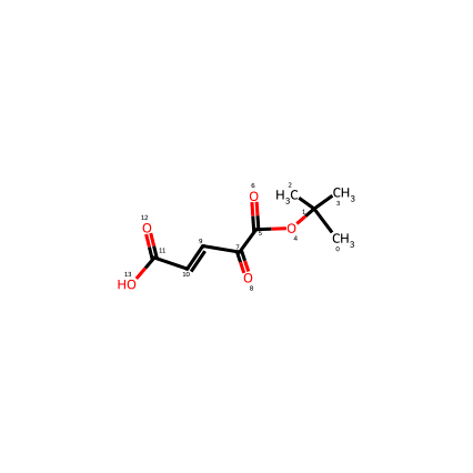 CC(C)(C)OC(=O)C(=O)C=CC(=O)O